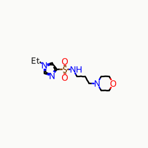 CCn1cnc(S(=O)(=O)NCCCN2CCOCC2)c1